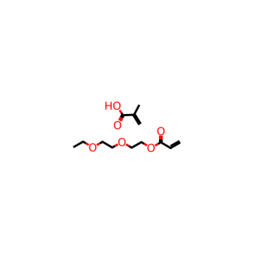 C=C(C)C(=O)O.C=CC(=O)OCCOCCOCC